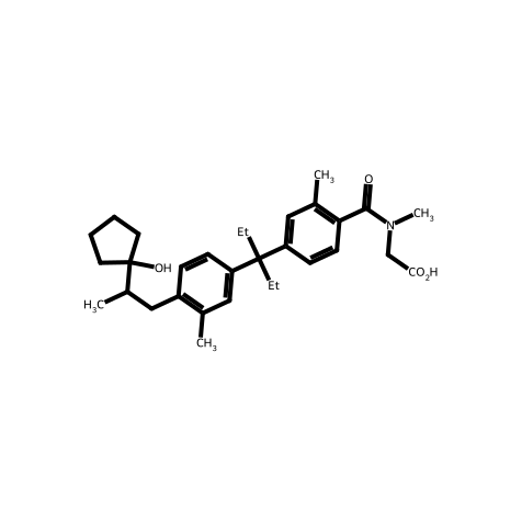 CCC(CC)(c1ccc(CC(C)C2(O)CCCC2)c(C)c1)c1ccc(C(=O)N(C)CC(=O)O)c(C)c1